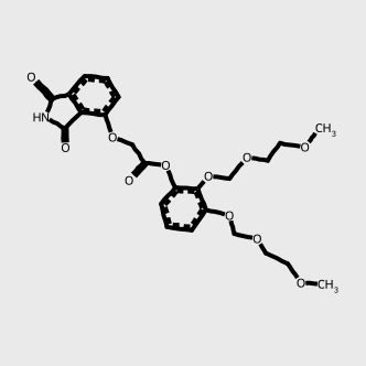 COCCOCOc1cccc(OC(=O)COc2cccc3c2C(=O)NC3=O)c1OCOCCOC